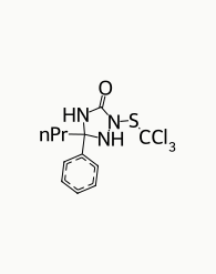 CCCC1(c2ccccc2)NC(=O)N(SC(Cl)(Cl)Cl)N1